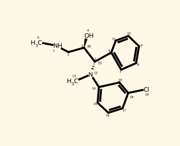 CNC[C@@H](O)[C@H](c1ccccc1)N(C)c1cccc(Cl)c1